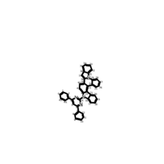 c1ccc(-c2cc(-c3ccccc3)nc(-n3c4ccccc4c4c5c6ccccc6n6c7ccccc7cc6c5ccc43)n2)cc1